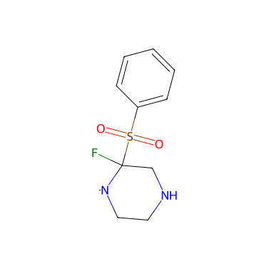 O=S(=O)(c1ccccc1)C1(F)CNCC[N]1